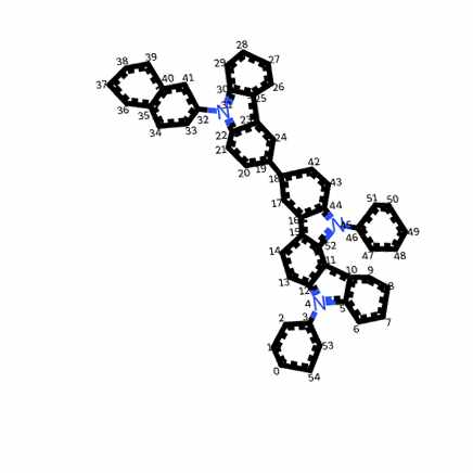 c1ccc(-n2c3ccccc3c3c2ccc2c4cc(-c5ccc6c(c5)c5ccccc5n6-c5ccc6ccccc6c5)ccc4n(-c4ccccc4)c23)cc1